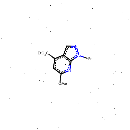 CCOC(=O)c1cc(OC)nc2c1cnn2C(C)C